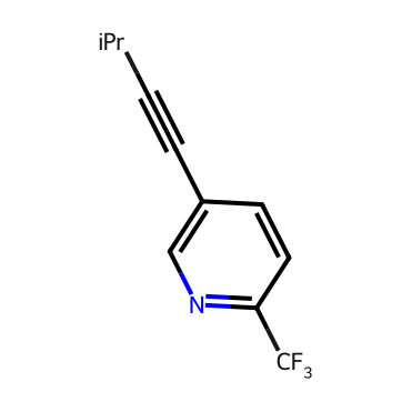 CC(C)C#Cc1ccc(C(F)(F)F)nc1